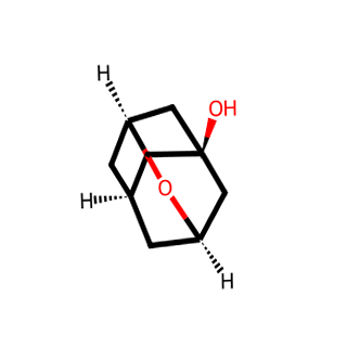 O[C@]12C[C@H]3C[C@H](C1)O[C@@H](C3)C2